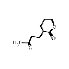 CC(=O)CCC1CCCOC1=O